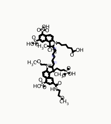 COCCNC(=O)c1cc(S(=O)(=O)O)c2ccc3c(c2c1)C(C)(CCCS(=O)(=O)O)C(/C=C/C=C/C=C1/N(CCCCCC(=O)O)c2ccc4c(S(=O)(=O)O)cc(S(=O)(=O)O)cc4c2C1(C)C)=[N+]3CCOC